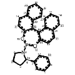 c1ccc([C@H]2CCCN2p2oc3ccc4ccccc4c3c3c(ccc4ccccc43)o2)cc1